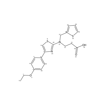 CCOc1ccc(-c2csc(N(CCC(=O)O)Cc3cccs3)n2)cc1